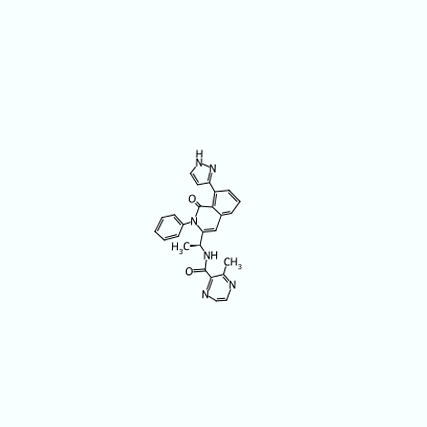 Cc1nccnc1C(=O)N[C@@H](C)c1cc2cccc(-c3cc[nH]n3)c2c(=O)n1-c1ccccc1